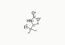 CCC(C)(C)C1COC(=O)N1